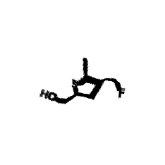 C[C@@H]1S[C@H](CO)C[C@@H]1CF